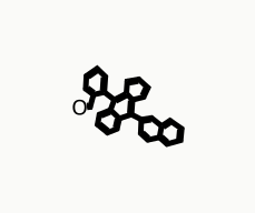 O=Cc1ccccc1-c1c2ccccc2c(-c2ccc3ccccc3c2)c2ccccc12